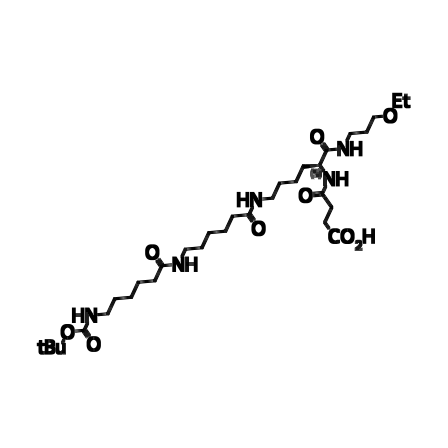 CCOCCCNC(=O)[C@H](CCCCNC(=O)CCCCCNC(=O)CCCCCNC(=O)OC(C)(C)C)NC(=O)CCC(=O)O